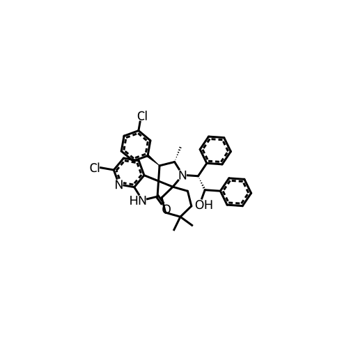 C[C@H]1[C@H](c2cccc(Cl)c2)C2(C(=O)Nc3nc(Cl)ccc32)C2(CCC(C)(C)CC2)N1[C@H](c1ccccc1)C(O)c1ccccc1